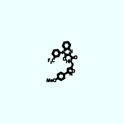 COc1ccc(-c2cc(CNC(=O)c3nc4ccccc4n(-c4cccc(C(F)(F)F)c4)c3=O)on2)cc1